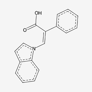 O=C(O)C(=Cn1ccc2ccccc21)c1ccccc1